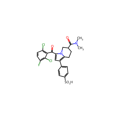 CN(C)C(=O)C1CCc2c(-c3ccc(S(=O)(=O)O)cc3)cc(C(=O)c3c(Cl)ccc(F)c3Cl)n2C1